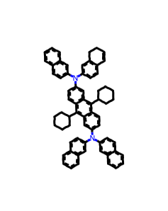 C1=Cc2ccc(N(c3ccc4ccccc4c3)c3ccc4c(C5CCCCC5)c5cc(N(c6ccc7ccccc7c6)c6ccc7ccccc7c6)ccc5c(C5CCCCC5)c4c3)cc2CC1